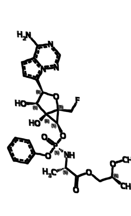 CO[C@@H](C)COC(=O)[C@H](C)N[P@@](=O)(Oc1ccccc1)O[C@H]1[C@]2(O)[C@@H](O)[C@@H](c3ccc4c(N)ncnn34)O[C@]12CF